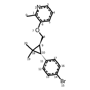 Cc1ncccc1OC[C@H]1[C@H](c2ccc(Br)cc2)C1(C)C